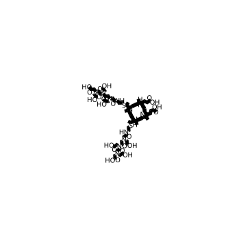 CC1=C(CCC(=O)O)c2cc3[nH]c(cc4nc(cc5[nH]c(cc1n2)c(C)c5C(C)SCCNC(=O)CN(CCN(CCN(CC(=O)O)CC(=O)O)CC(=O)O)CC(=O)O)C(C)=C4C(C)SCCNC(=O)CN(CCN(CCN(CC(=O)O)CC(=O)O)CC(=O)O)CC(=O)O)c(C)c3CCC(=O)O